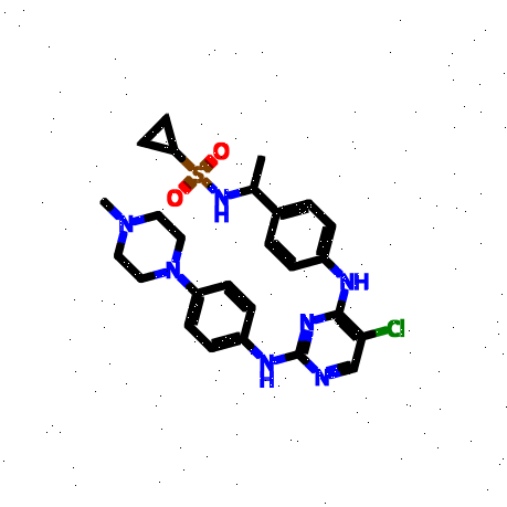 CC(NS(=O)(=O)C1CC1)c1ccc(Nc2nc(Nc3ccc(N4CCN(C)CC4)cc3)ncc2Cl)cc1